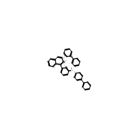 c1ccc(-c2ccc(N(c3cccc(-c4ccccc4)c3)c3cccc4c3oc3ccc5ccccc5c34)cc2)cc1